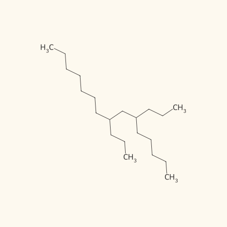 CCCCCCCC(CCC)CC(CCC)CCCCC